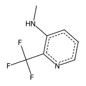 CNc1cccnc1C(F)(F)F